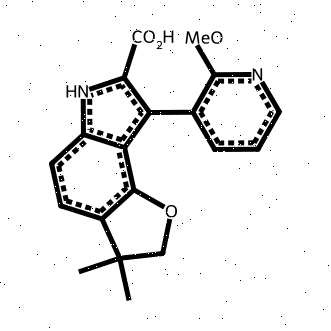 COc1ncccc1-c1c(C(=O)O)[nH]c2ccc3c(c12)OCC3(C)C